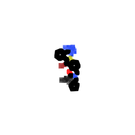 CCC(=O)N(Cc1ccc2sc(-c3ccccc3-c3nnn[nH]3)c(Br)c2c1)CC1(C(=O)O)CCCC1